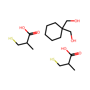 CC(CS)C(=O)O.CC(CS)C(=O)O.OCC1(CO)CCCCC1